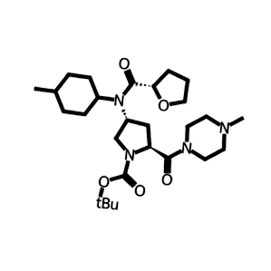 CC1CCC(N(C(=O)[C@@H]2CCCO2)[C@@H]2C[C@@H](C(=O)N3CCN(C)CC3)N(C(=O)OC(C)(C)C)C2)CC1